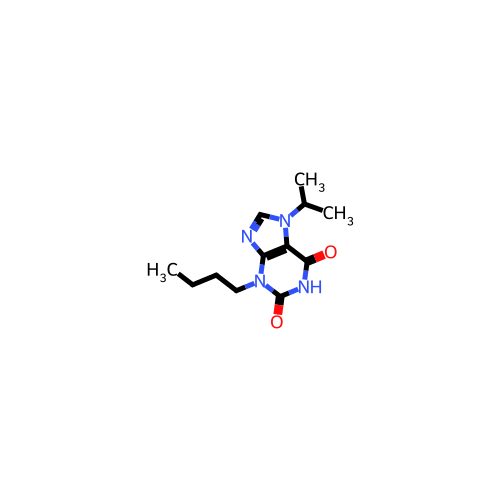 CCCCn1c(=O)[nH]c(=O)c2c1ncn2C(C)C